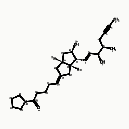 CC#CC[C@@H](C)[C@@H](O)/C=C/[C@@H]1[C@H]2CC(=CCCCC(=O)N3CCCC3)C[C@H]2C[C@H]1O